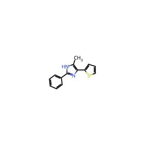 Cc1[nH]c(-c2ccccc2)nc1-c1cccs1